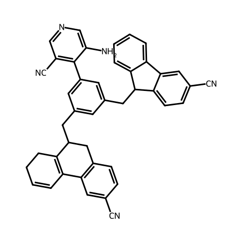 N#Cc1ccc2c(c1)C1=C(CCC=C1)C(Cc1cc(CC3c4ccccc4-c4cc(C#N)ccc43)cc(-c3c(N)cncc3C#N)c1)C2